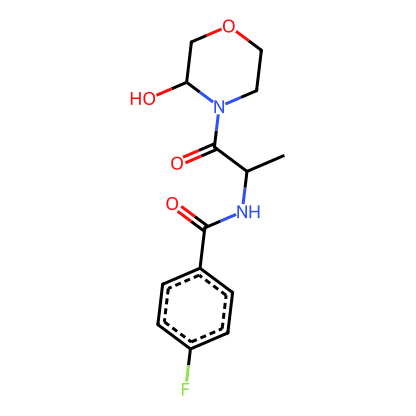 CC(NC(=O)c1ccc(F)cc1)C(=O)N1CCOCC1O